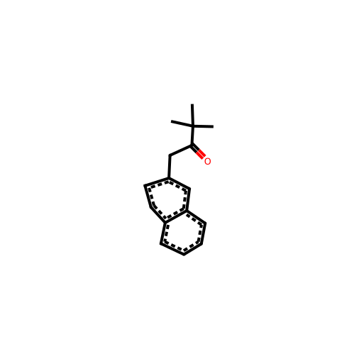 CC(C)(C)C(=O)Cc1ccc2ccccc2c1